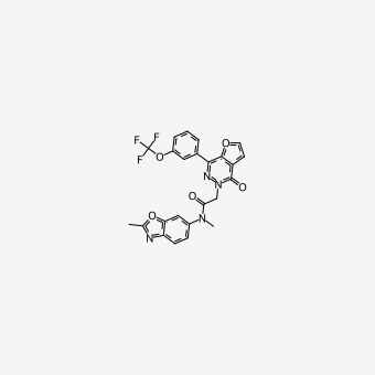 Cc1nc2ccc(N(C)C(=O)Cn3nc(-c4cccc(OC(F)(F)F)c4)c4occc4c3=O)cc2o1